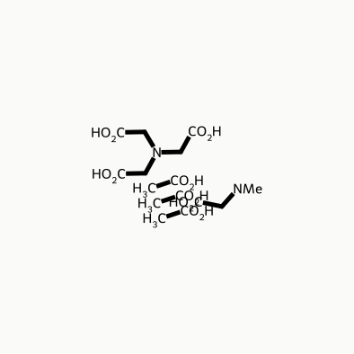 CC(=O)O.CC(=O)O.CC(=O)O.CNCC(=O)O.O=C(O)CN(CC(=O)O)CC(=O)O